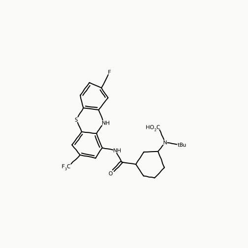 CC(C)(C)N(C(=O)O)C1CCCC(C(=O)Nc2cc(C(F)(F)F)cc3c2Nc2cc(F)ccc2S3)C1